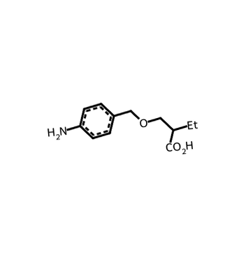 CCC(COCc1ccc(N)cc1)C(=O)O